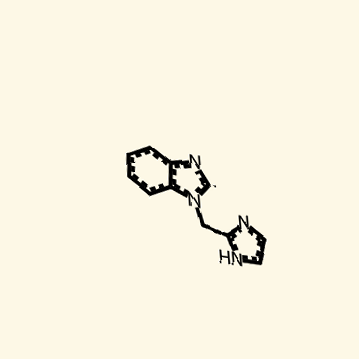 [c]1nc2ccccc2n1Cc1ncc[nH]1